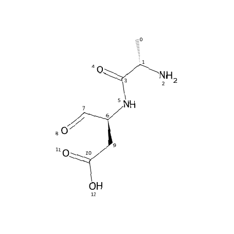 C[C@H](N)C(=O)N[C@H](C=O)CC(=O)O